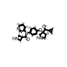 O=C(C1CNC1)N(c1ccc(O[C@]2(C(=O)C3CC3)CCNC2)cc1)c1cccnn1